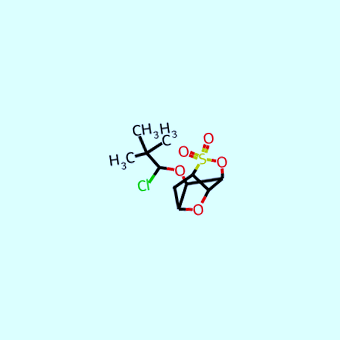 CC(C)(C)C(Cl)OC1C2CC3C(O2)C1OS3(=O)=O